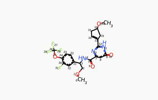 COCC(NC(=O)c1cc(=O)[nH]c(C2=CCC(OC)C2)n1)c1ccc(OC(F)(F)F)c(F)c1